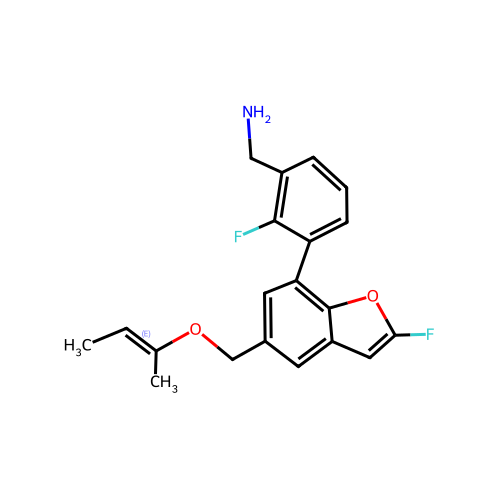 C/C=C(\C)OCc1cc(-c2cccc(CN)c2F)c2oc(F)cc2c1